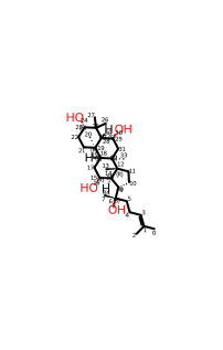 CC(C)=CCC[C@](C)(O)[C@H]1CC[C@]2(C)[C@@H]1[C@H](O)C[C@@H]1[C@@]3(C)CC[C@H](O)C(C)(C)[C@@H]3[C@@H](O)C[C@]12C